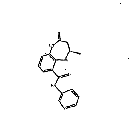 C=C1C[C@@H](C)Nc2c(cccc2C(=O)Nc2ccccc2)N1